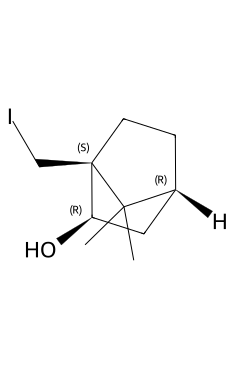 CC1(C)[C@@H]2CC[C@@]1(CI)[C@H](O)C2